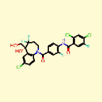 O=C(Nc1ccc(C(=O)N2CCC(F)(F)[C@](O)(CO)c3cc(Cl)ccc32)cc1F)c1cc(F)c(Cl)cc1Cl